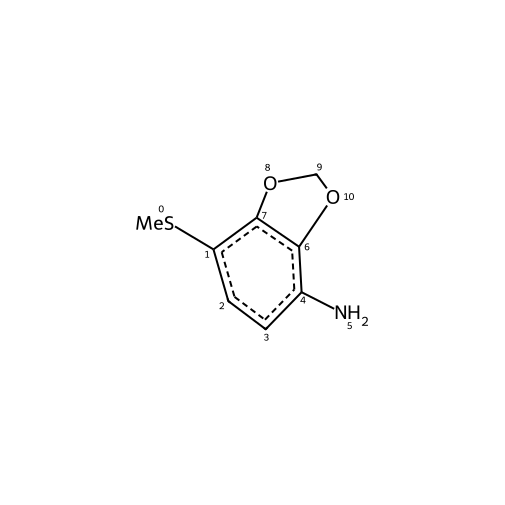 CSc1ccc(N)c2c1OCO2